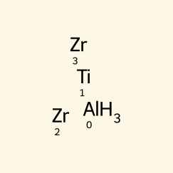 [AlH3].[Ti].[Zr].[Zr]